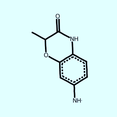 CC1Oc2cc([NH])ccc2NC1=O